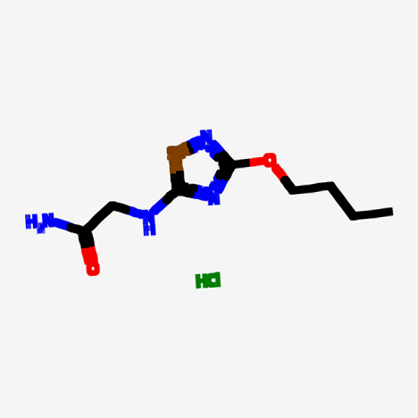 CCCCOc1nsc(NCC(N)=O)n1.Cl